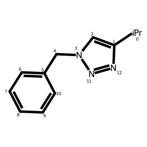 CC(C)c1cn(Cc2ccccc2)nn1